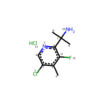 Cc1c(Cl)cnc(C(C)(C)N)c1F.Cl